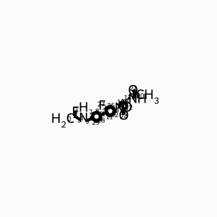 C=C(F)CNCc1ccc(-c2ccc(N3C[C@H](CNC(C)=O)OC3=O)cc2F)cc1